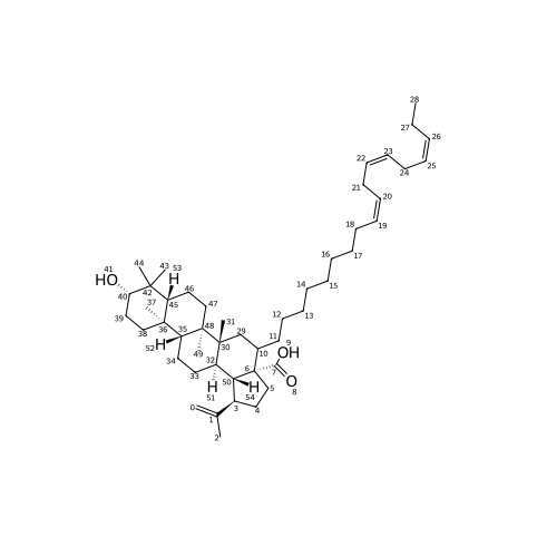 C=C(C)[C@@H]1CC[C@]2(C(=O)O)C(CCCCCCCC/C=C\C/C=C\C/C=C\CC)C[C@]3(C)[C@H](CC[C@@H]4[C@@]5(C)CC[C@H](O)C(C)(C)[C@@H]5CC[C@]43C)[C@@H]12